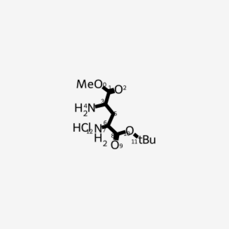 COC(=O)C(N)CC(N)C(=O)OC(C)(C)C.Cl